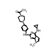 CC(=O)N1CCN(c2ccc(Nc3nc(NC4CC4)c4ccn(C)c4n3)cc2)CC1